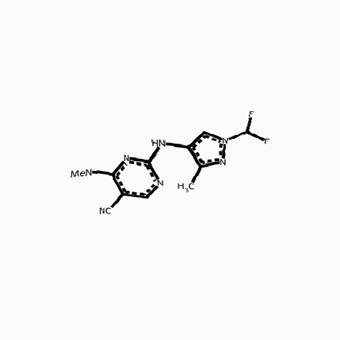 CNc1nc(Nc2cn(C(F)F)nc2C)ncc1C#N